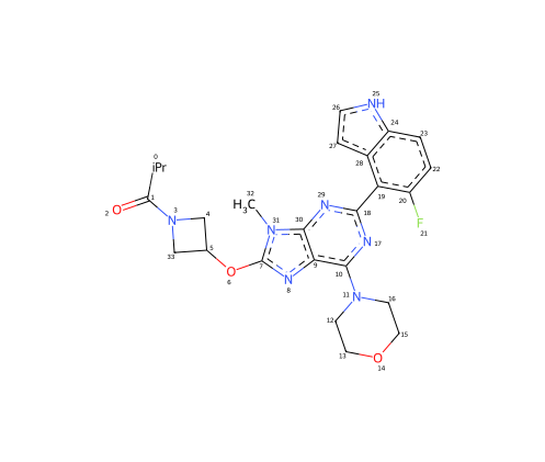 CC(C)C(=O)N1CC(Oc2nc3c(N4CCOCC4)nc(-c4c(F)ccc5[nH]ccc45)nc3n2C)C1